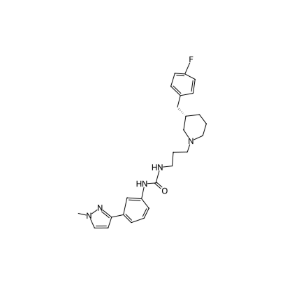 Cn1ccc(-c2cccc(NC(=O)NCCCN3CCC[C@@H](Cc4ccc(F)cc4)C3)c2)n1